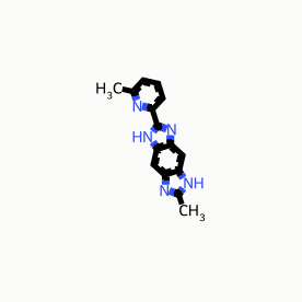 Cc1cccc(-c2nc3cc4[nH]c(C)nc4cc3[nH]2)n1